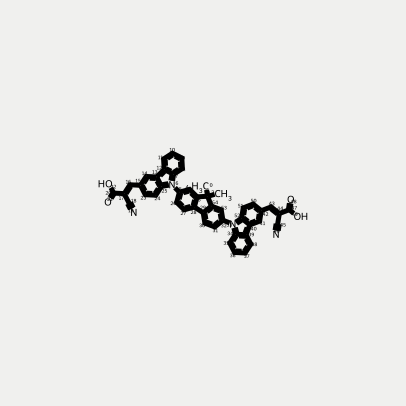 CC1(C)c2cc(-n3c4ccccc4c4cc(/C=C(\C#N)C(=O)O)ccc43)ccc2-c2ccc(-n3c4ccccc4c4cc(/C=C(\C#N)C(=O)O)ccc43)cc21